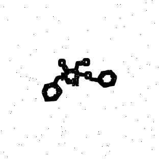 O=Cc1c(OCc2ccccc2)ncn(Cc2ccccc2)c1=O